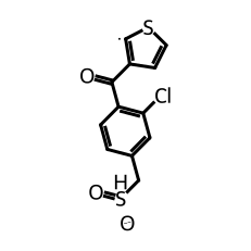 O=C(c1[c]scc1)c1ccc(C[SH](=O)=O)cc1Cl